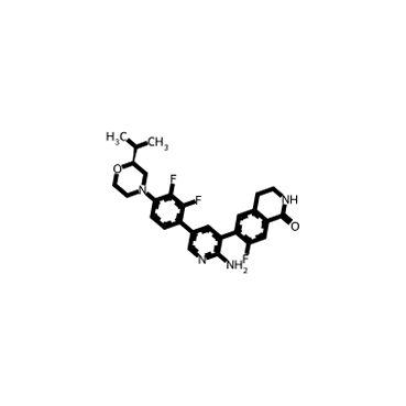 CC(C)[C@H]1CN(c2ccc(-c3cnc(N)c(-c4cc5c(cc4F)C(=O)NCC5)c3)c(F)c2F)CCO1